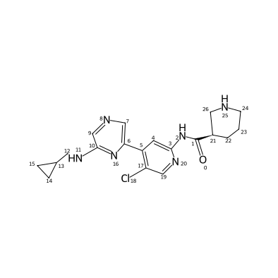 O=C(Nc1cc(-c2cncc(NCC3CC3)n2)c(Cl)cn1)[C@@H]1CCCNC1